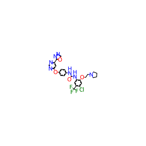 O=C(Nc1ccc(Oc2cc(-c3nnco3)ncn2)cc1)Nc1cc(C(F)(F)F)c(Cl)cc1OCCN1CCCC1